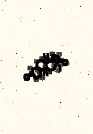 CC[C@]12CC[C@@H]3C4=C(CC[C@H]3[C@@H]1CCC2=O)CC(=O)CC4